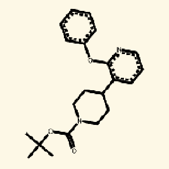 CC(C)(C)OC(=O)N1CCC(c2cccnc2Oc2ccccc2)CC1